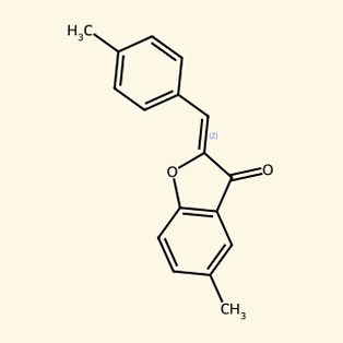 Cc1ccc(/C=C2\Oc3ccc(C)cc3C2=O)cc1